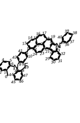 Cc1ccccc1N(c1ccc(-c2ccc3ccc4cc5c(c6ccc2c3c46)c2ccccc2n5-c2ccccc2)cc1)c1ccccc1F